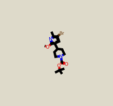 COc1nc(C)c(Br)cc1C1CCN(C(=O)OC(C)(C)C)CC1